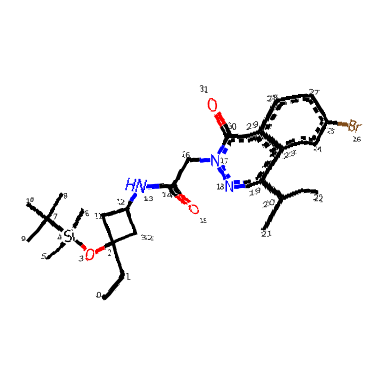 CCC1(O[Si](C)(C)C(C)(C)C)CC(NC(=O)Cn2nc(C(C)C)c3cc(Br)ccc3c2=O)C1